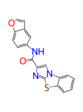 O=C(Nc1ccc2occc2c1)c1cn2c(n1)sc1ccccc12